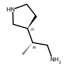 C[C@@H](CN)[C@@H]1CCNC1